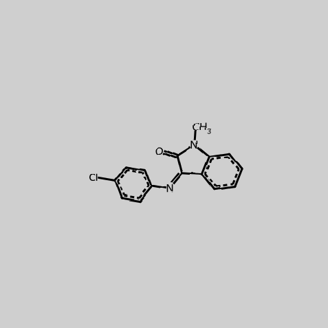 CN1C(=O)C(=Nc2ccc(Cl)cc2)c2ccccc21